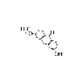 COc1ccc2c(c1)Cc1cc(O)ccc1C2=O